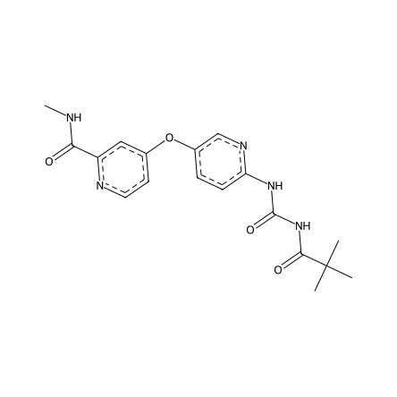 CNC(=O)c1cc(Oc2ccc(NC(=O)NC(=O)C(C)(C)C)nc2)ccn1